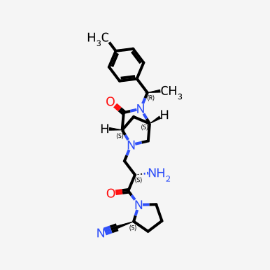 Cc1ccc([C@@H](C)N2C(=O)[C@@H]3C[C@H]2CN3C[C@H](N)C(=O)N2CCC[C@H]2C#N)cc1